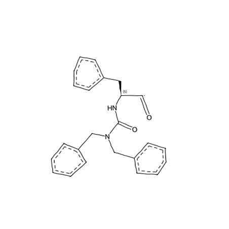 O=[C][C@H](Cc1ccccc1)NC(=O)N(Cc1ccccc1)Cc1ccccc1